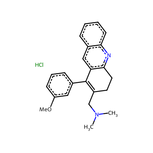 COc1cccc(C2=C(CN(C)C)CCc3nc4ccccc4cc32)c1.Cl